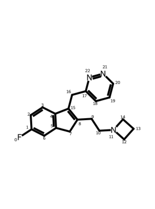 Fc1ccc2c(c1)CC(CCN1CCC1)=C2Cc1cccnn1